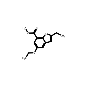 CCOc1cc(C(=O)OC)c2oc(CC)cc2c1